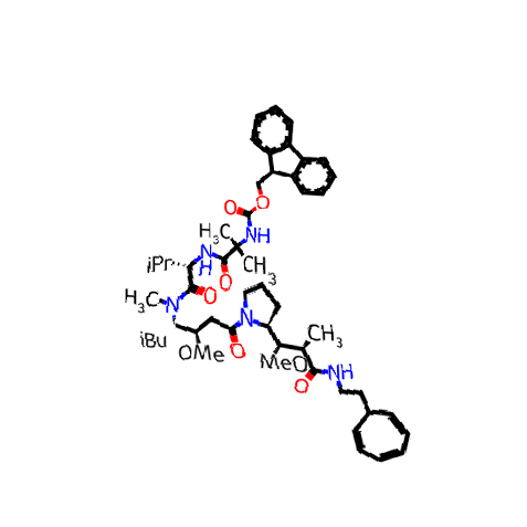 CC[C@H](C)[C@@H]([C@@H](CC(=O)N1CCC[C@H]1[C@H](OC)[C@@H](C)C(=O)NCCC1C=CC=CC=C1)OC)N(C)C(=O)[C@@H](NC(=O)C(C)(C)NC(=O)OCC1c2ccccc2-c2ccccc21)C(C)C